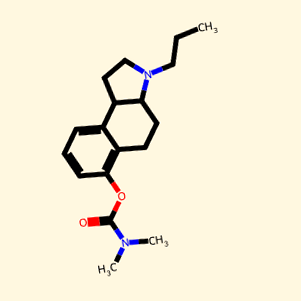 CCCN1CCC2c3cccc(OC(=O)N(C)C)c3CCC21